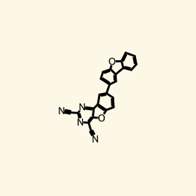 N#Cc1nc(C#N)c2oc3ccc(-c4ccc5oc6ccccc6c5c4)cc3c2n1